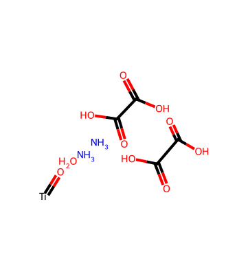 N.N.O.O=C(O)C(=O)O.O=C(O)C(=O)O.[O]=[Ti]